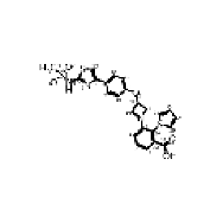 CS(=O)(=O)Nc1nc(-c2ccc(OC3CN(c4cccc(C(=O)O)c4-n4cccc4)C3)cc2)cs1